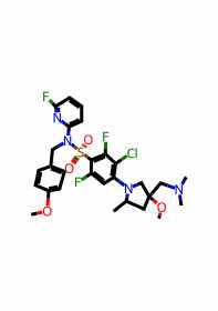 COc1ccc(CN(c2cccc(F)n2)S(=O)(=O)c2c(F)cc(N3CC(CN(C)C)(OC)CC3C)c(Cl)c2F)cc1